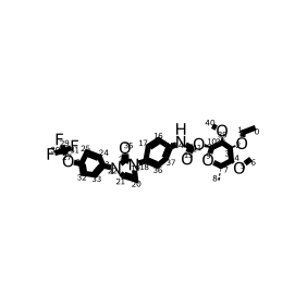 CCO[C@@H]1[C@@H](OC)[C@H](C)O[C@@H](OC(=O)Nc2ccc(-n3ccn(-c4ccc(OC(F)(F)F)cc4)c3=O)cc2)[C@@H]1OC